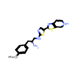 COc1ccc(C[C@H](N)CNc2ncc(-c3nc4c(s3)CNC=C4)s2)cc1